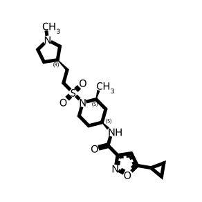 C[C@H]1C[C@@H](NC(=O)c2cc(C3CC3)on2)CCN1S(=O)(=O)CC[C@H]1CCN(C)C1